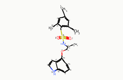 Cc1cc(C)c(S(=O)(=O)N[C@@H](C)COc2cccc3[nH]ccc23)c(C)c1